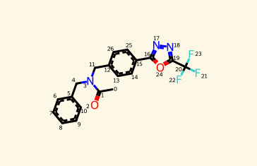 CC(=O)N(Cc1ccccc1)Cc1ccc(-c2nnc(C(F)(F)F)o2)cc1